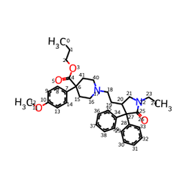 CCCOC(=O)C1(c2ccc(OC)cc2)CCN(CCC2CN(CC)C(=O)C2(c2ccccc2)c2ccccc2)CC1